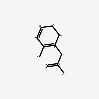 CC(=O)CC1=C(C)C=CCC1